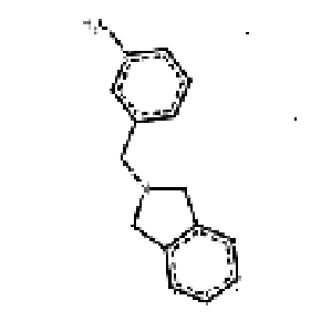 Cc1cccc(CN2Cc3ccccc3C2)c1